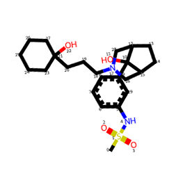 CS(=O)(=O)Nc1cccc(C2(O)C3CCC2CN(CCCC2(O)CCCCC2)C3)c1